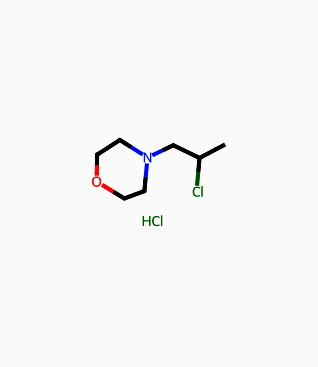 CC(Cl)CN1CCOCC1.Cl